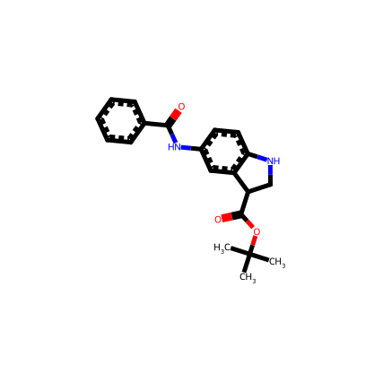 CC(C)(C)OC(=O)C1CNc2ccc(NC(=O)c3ccccc3)cc21